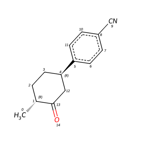 C[C@@H]1CC[C@@H](c2ccc(C#N)cc2)CC1=O